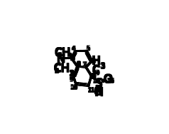 CN(C)C1=CC=CC2C1=CC=CC2(C)[SH](=O)=O